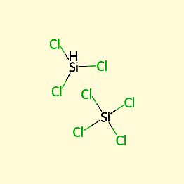 Cl[SiH](Cl)Cl.Cl[Si](Cl)(Cl)Cl